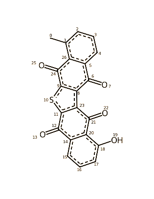 Cc1cccc2c(=O)c3c(sc4c(=O)c5cccc(O)c5c(=O)c43)c(=O)c12